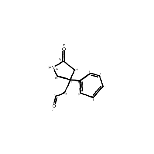 O=CCC1(c2ccccc2)CNC(=O)C1